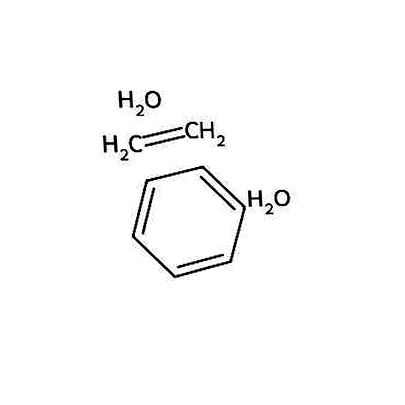 C=C.O.O.c1ccccc1